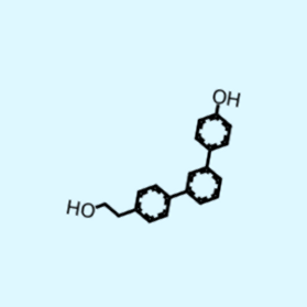 OCCc1ccc(-c2cccc(-c3ccc(O)cc3)c2)cc1